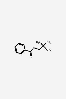 CC(C)(C=O)COC(=O)c1ccccc1